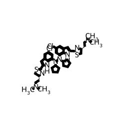 CN(C)CC[C@@H]1CSC(c2cc3cc(Cl)cc(N(C4CCCC4)N(c4cc(Cl)cc5cc(C6=N[C@H](CCN(C)C)CS6)[nH]c45)C4CCCC4)c3[nH]2)=N1